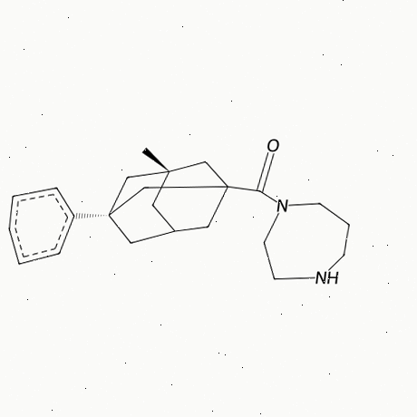 C[C@]12CC3CC(C(=O)N4CCCNCC4)(C1)C[C@@](c1ccccc1)(C3)C2